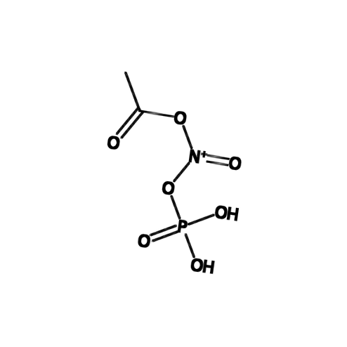 CC(=O)O[N+](=O)OP(=O)(O)O